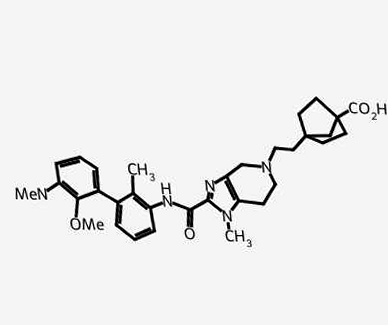 CNc1cccc(-c2cccc(NC(=O)c3nc4c(n3C)CCN(CCC35CCC(C(=O)O)(CC3)C5)C4)c2C)c1OC